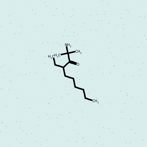 CCCCCCC(CC)C(=O)C(C)(C)N